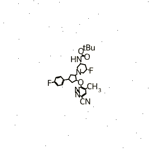 Cc1cc(C#N)nnc1OC1CC(c2ccc(F)cc2)CC1N1C[C@H](F)C[C@@H](NC(=O)OC(C)(C)C)C1